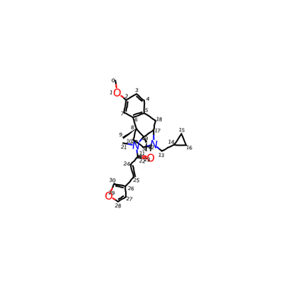 COc1ccc2c(c1)[C@@]1(C)CCN(CC3CC3)C(C2)[C@@H]1N(C)C(=O)/C=C/c1ccoc1